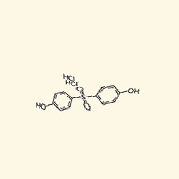 Cl.Cl.O=S(=O)(c1ccc(O)cc1)c1ccc(O)cc1